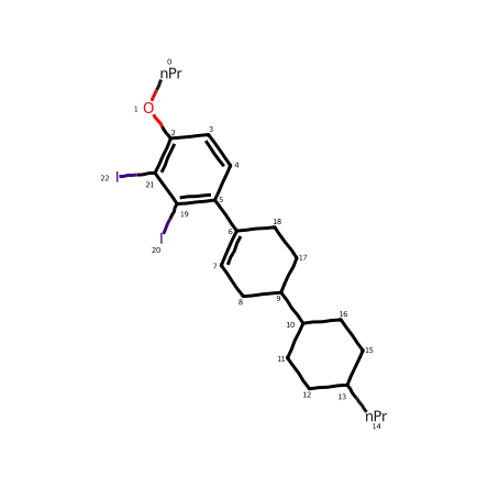 CCCOc1ccc(C2=CCC(C3CCC(CCC)CC3)CC2)c(I)c1I